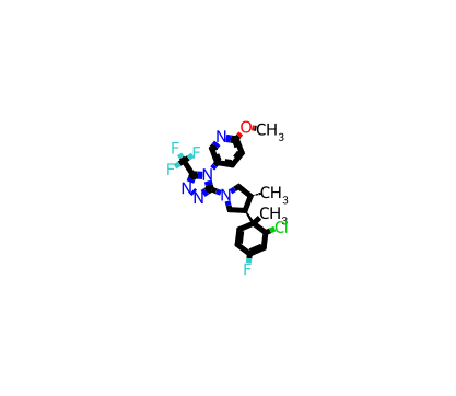 COc1ccc(-n2c(N3C[C@H](C)[C@@H](C4(C)C=CC(F)=CC4Cl)C3)nnc2C(F)(F)F)cn1